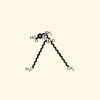 CCCCCCCCC=CCCCCCCCC(=O)OCC(C[N+](C)(C)Cc1ccc(C(=O)O)cc1)OC(=O)CCCCCCCC=CCCCCCCCC